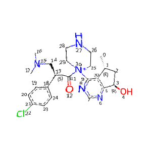 C[C@@H]1C[C@@H](O)c2ncnc([N+]3(C(=O)[C@H](CN(C)C)c4ccc(Cl)cc4)CCNCC3)c21